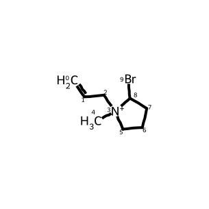 C=CC[N+]1(C)CCCC1Br